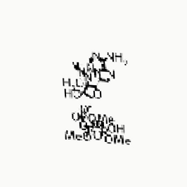 COP(=O)(O)OP(=O)(OC)OP(=O)(OC)OC[C@H]1O[C@@H](c2cnc3c(N)ncnn23)[C@](C)(N=[N+]=[N-])[C@@H]1O